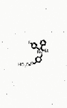 CCc1c(-c2ccccc2)c(-c2ccc(F)cc2)nn1CC1CCC(COCC(=O)O)CC1